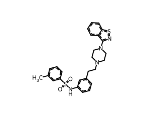 Cc1cccc(S(=O)(=O)Nc2cccc(CCN3CCN(c4nsc5ccccc45)CC3)c2)c1